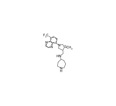 C[C@@H]1CN(c2ccc(C(F)(F)F)c3nccnc23)CC1CNC1CCCNCC1